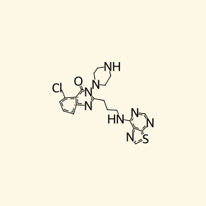 O=c1c2c(Cl)cccc2nc(CCCNc2ncnc3scnc23)n1N1CCNCC1